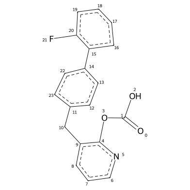 O=C(O)Oc1ncccc1Cc1ccc(-c2ccccc2F)cc1